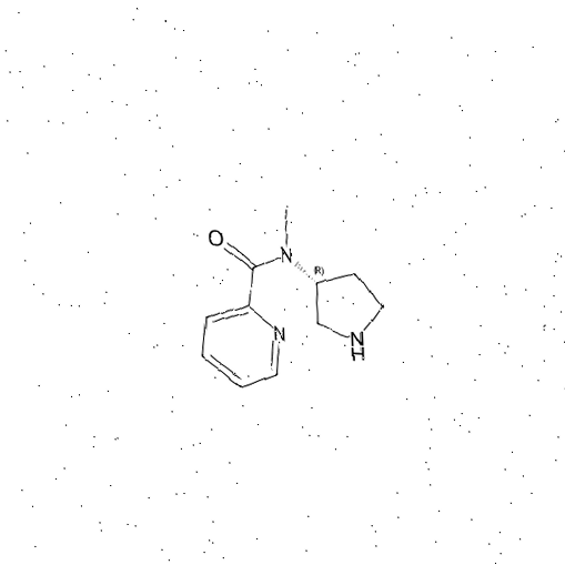 CN(C(=O)c1ccccn1)[C@@H]1CCNC1